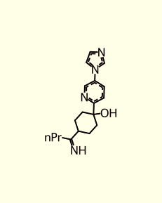 C[CH]CC(=N)C1CCC(O)(c2ccc(-n3ccnc3)cn2)CC1